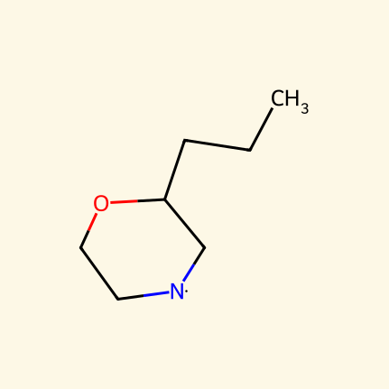 CCCC1C[N]CCO1